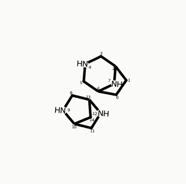 C1CC2CNCC1N2.C1NC2CNC1C2